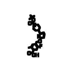 Cc1cc(COc2cccc(C3CCN(C(=O)OC(C)(C)C)CC3)n2)c(F)cc1C(=O)O